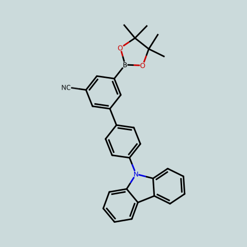 CC1(C)OB(c2cc(C#N)cc(-c3ccc(-n4c5ccccc5c5ccccc54)cc3)c2)OC1(C)C